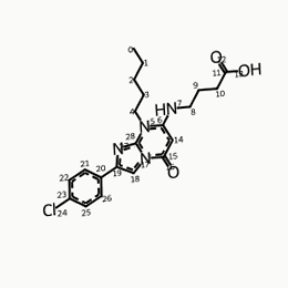 CCCCCn1c(NCCCC(=O)O)cc(=O)n2cc(-c3ccc(Cl)cc3)nc12